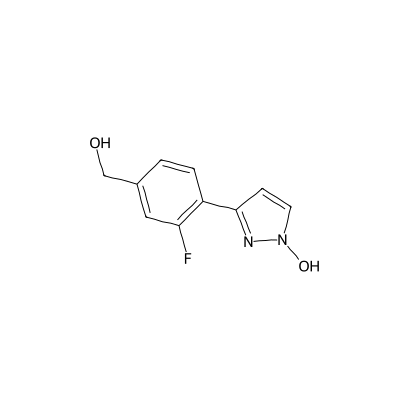 OCc1ccc(-c2ccn(O)n2)c(F)c1